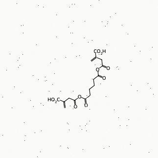 C=C(CC(=O)OC(=O)CCCCC(=O)OC(=O)CC(=C)C(=O)O)C(=O)O